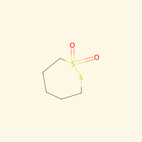 O=S1(=O)CCCCCS1